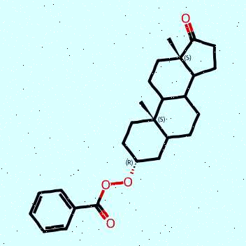 C[C@]12CC[C@@H](OOC(=O)c3ccccc3)CC1CCC1C2CC[C@]2(C)C(=O)CCC12